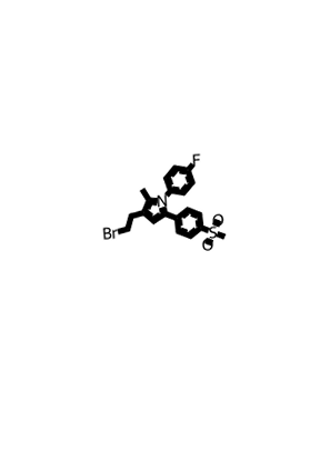 Cc1c(CCBr)cc(-c2ccc(S(C)(=O)=O)cc2)n1-c1ccc(F)cc1